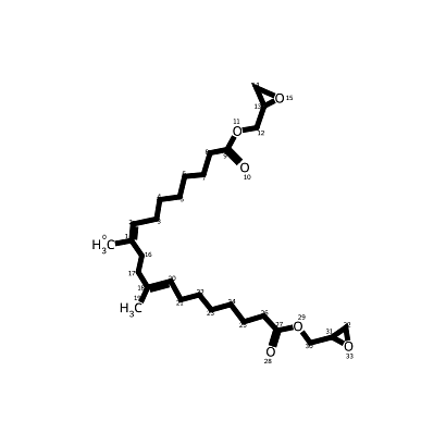 CC(=CCCCCCCC(=O)OCC1CO1)CCC(C)=CCCCCCCC(=O)OCC1CO1